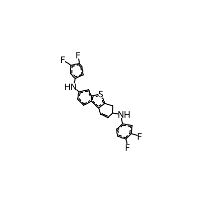 Fc1ccc(Nc2ccc3c4c(sc3c2)CC(Nc2ccc(F)c(F)c2)C=C4)cc1F